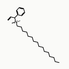 C=CC(c1ccccc1)[N+](C)(C)CCCCCCCCCCCCCCCC